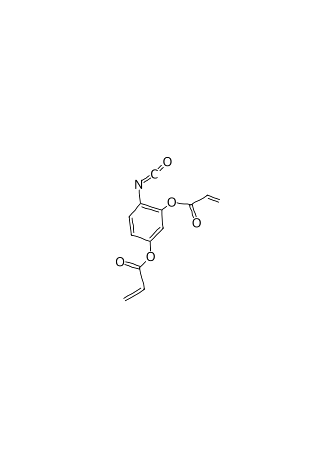 C=CC(=O)Oc1ccc(N=C=O)c(OC(=O)C=C)c1